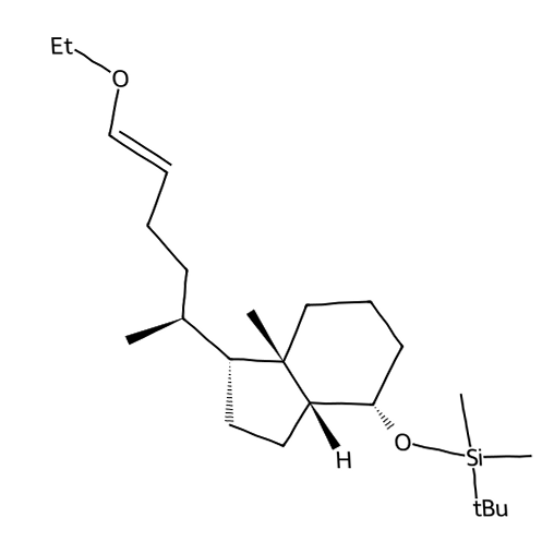 CCOC=CCC[C@H](C)[C@H]1CC[C@H]2[C@@H](O[Si](C)(C)C(C)(C)C)CCC[C@@]12C